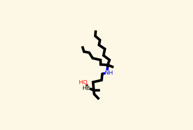 CCCCCCCC(C)(CCCCCC)NCCCC(C)(BO)CC